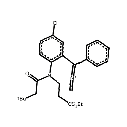 C=[N+]=C(c1ccccc1)c1cc(Cl)ccc1N(CCC(=O)OCC)C(=O)CC(C)(C)C